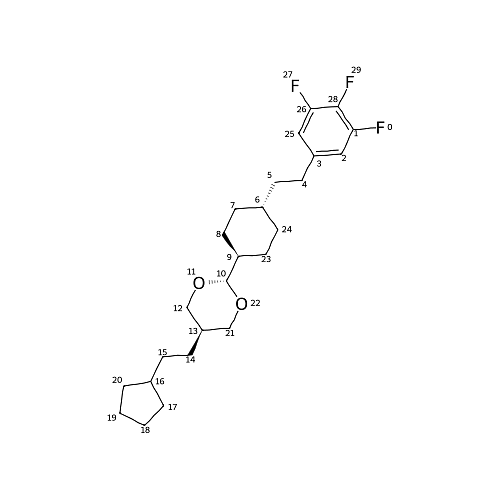 Fc1cc(CC[C@H]2CC[C@H]([C@H]3OC[C@H](CCC4CCCC4)CO3)CC2)cc(F)c1F